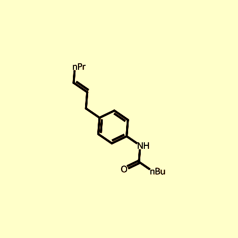 [CH2]CC/C=C/Cc1ccc(NC(=O)CCCC)cc1